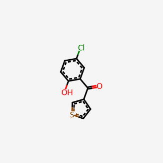 O=C(c1ccsc1)c1cc(Cl)ccc1O